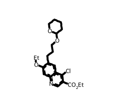 CCOC(=O)c1cnc2cc(OCC)c(CCCOC3CCCCO3)cc2c1Cl